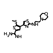 CSc1sc(C(=N)N)cc1-c1csc(NCCN2CCOCC2)n1